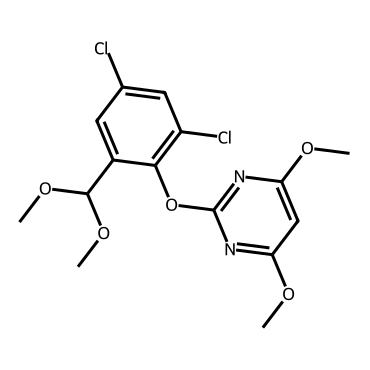 COc1cc(OC)nc(Oc2c(Cl)cc(Cl)cc2C(OC)OC)n1